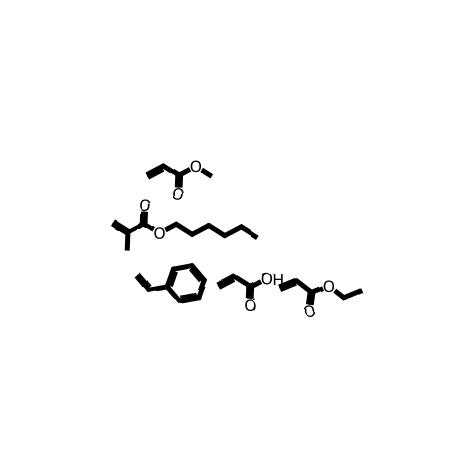 C=C(C)C(=O)OCCCCCC.C=CC(=O)O.C=CC(=O)OC.C=CC(=O)OCC.C=Cc1ccccc1